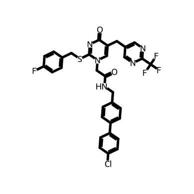 O=C(Cn1cc(Cc2cnc(C(F)(F)F)nc2)c(=O)nc1SCc1ccc(F)cc1)NCc1ccc(-c2ccc(Cl)cc2)cc1